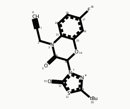 C#CCN1C(=O)C(n2nc(C(C)(C)C)sc2=O)Oc2cc(F)ccc21